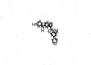 O=C(Nc1ccc(N2CCOCC2)cc1F)c1cnn2ccc(N[C@@H]3CCCNC3)nc12